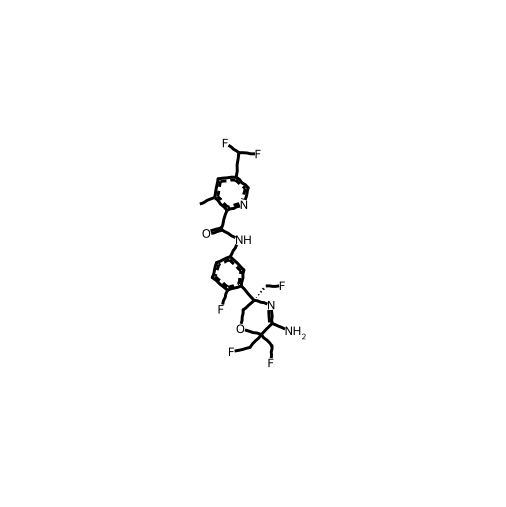 Cc1cc(C(F)F)cnc1C(=O)Nc1ccc(F)c([C@]2(CF)COC(CF)(CF)C(N)=N2)c1